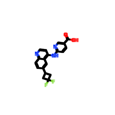 O=C(O)c1ccc(Nc2ccnc3ccc(C4CC(F)(F)C4)cc23)nc1